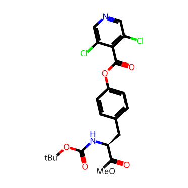 COC(=O)[C@H](Cc1ccc(OC(=O)c2c(Cl)cncc2Cl)cc1)NC(=O)OC(C)(C)C